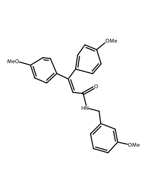 COc1ccc(C(=CC(=O)NCc2cccc(OC)c2)c2ccc(OC)cc2)cc1